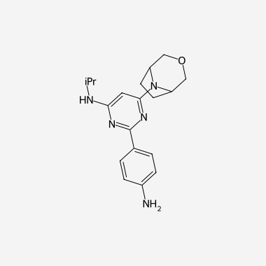 CC(C)Nc1cc(N2C3CCC2COC3)nc(-c2ccc(N)cc2)n1